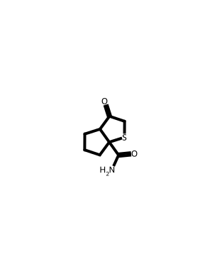 NC(=O)C12CCC[C]1C(=O)CS2